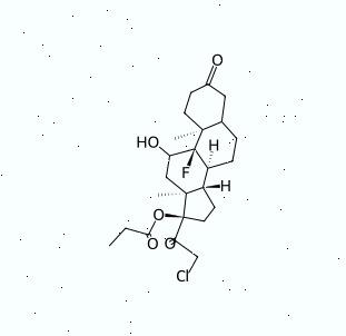 CCC(=O)O[C@]1(C(=O)CCl)CC[C@H]2[C@@H]3CCC4CC(=O)CC[C@]4(C)[C@@]3(F)C(O)C[C@@]21C